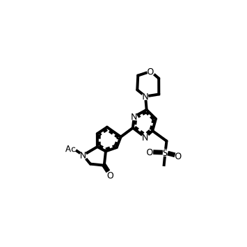 CC(=O)N1CC(=O)c2cc(-c3nc(CS(C)(=O)=O)cc(N4CCOCC4)n3)ccc21